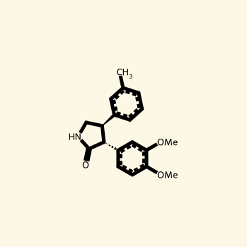 COc1ccc([C@@H]2C(=O)NC[C@H]2c2cccc(C)c2)cc1OC